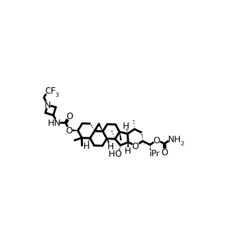 CC(C)[C@@H](OC(N)=O)[C@H]1C[C@@H](C)[C@H]2[C@H](O1)[C@H](O)[C@@]1(C)[C@@H]3CC[C@H]4C(C)(C)[C@@H](OC(=O)NC5CN(CC(F)(F)F)C5)CC[C@@]45C[C@@]35CC[C@]21C